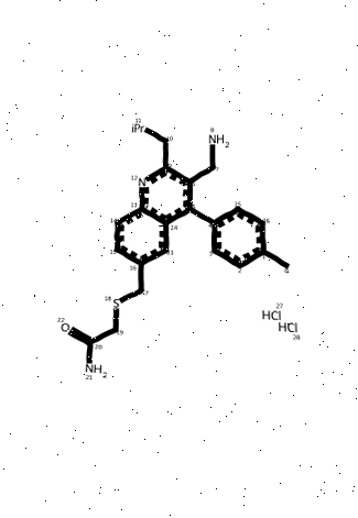 Cc1ccc(-c2c(CN)c(CC(C)C)nc3ccc(CSCC(N)=O)cc23)cc1.Cl.Cl